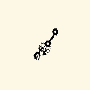 O=C1N(c2c(F)cc(C#Cc3ccccc3)cc2F)c2ncc(-c3cccnc3)n2C12CC2